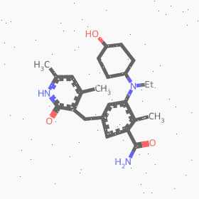 CCN(c1cc(Cc2c(C)cc(C)[nH]c2=O)cc(C(N)=O)c1C)C1CCC(O)CC1